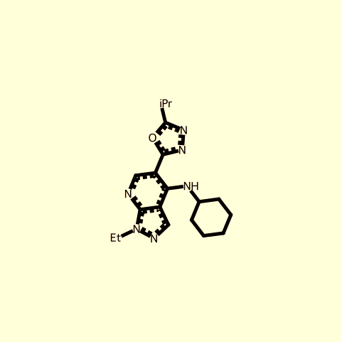 CCn1ncc2c(NC3CCCCC3)c(-c3nnc(C(C)C)o3)cnc21